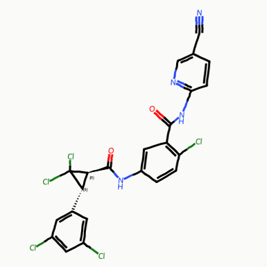 N#Cc1ccc(NC(=O)c2cc(NC(=O)[C@H]3[C@H](c4cc(Cl)cc(Cl)c4)C3(Cl)Cl)ccc2Cl)nc1